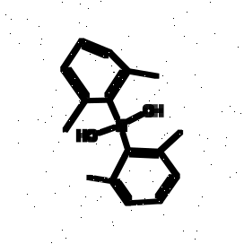 Cc1cccc(C)c1[Si](O)(O)c1c(C)cccc1C